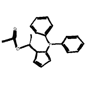 CC(=O)O[C@@H](C)C1C=CC=C1P(c1ccccc1)c1ccccc1